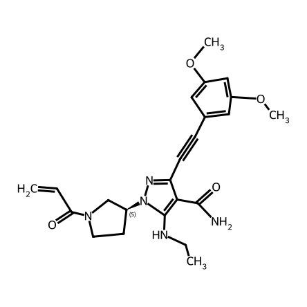 C=CC(=O)N1CC[C@H](n2nc(C#Cc3cc(OC)cc(OC)c3)c(C(N)=O)c2NCC)C1